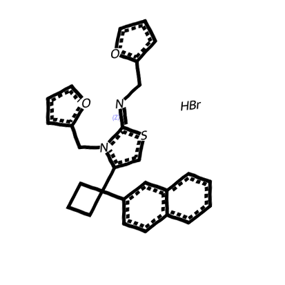 Br.c1coc(C/N=c2\scc(C3(c4ccc5ccccc5c4)CCC3)n2Cc2ccco2)c1